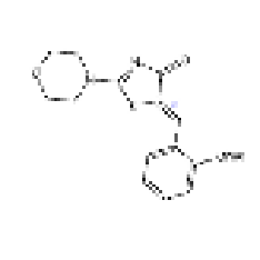 COc1ccccc1/C=C1\SC(N2CCOCC2)=NC1=O